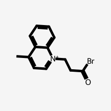 Cc1cc[n+](CCC(=O)Br)c2ccccc12